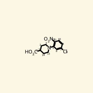 O=C(O)C1CCN(c2cc(Cl)ccc2[N+](=O)[O-])CC1